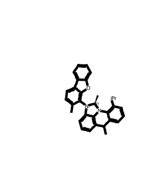 Cc1ccc2c(oc3ccccc32)c1N1c2cccc3c2N(c2c(C(C)C)cccc2C3C)[C@@H]1C